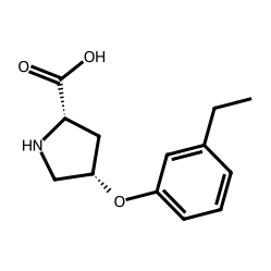 CCc1cccc(O[C@@H]2CN[C@H](C(=O)O)C2)c1